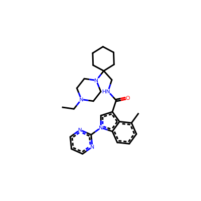 CCN1CCN(C2(CNC(=O)c3cn(-c4ncccn4)c4cccc(C)c34)CCCCC2)CC1